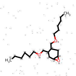 CCCCCCOCC1CC2OC2CC1COCCCCCC